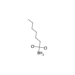 BC(Cl)(Cl)CCCCCC